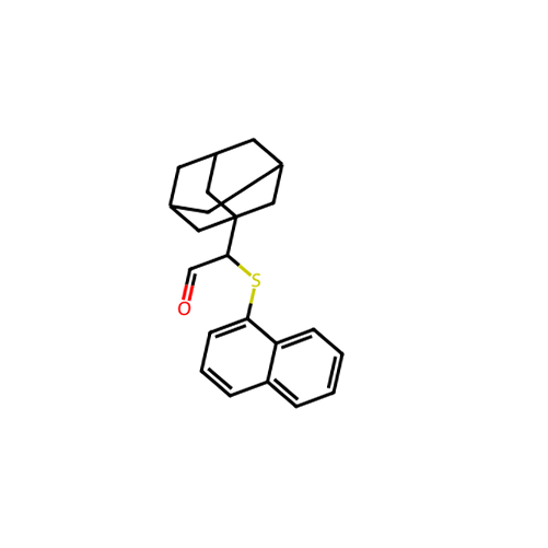 O=CC(Sc1cccc2ccccc12)C12CC3CC(CC(C3)C1)C2